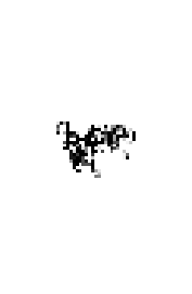 C[C@@H](NC(=O)C1(O)CCC(=O)C1)c1ncc(-c2cc(Cl)cc(F)c2-c2nnn(C)n2)cc1F